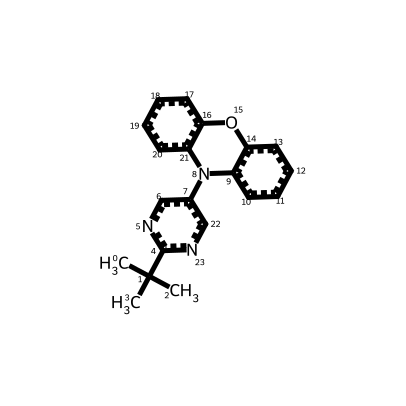 CC(C)(C)c1ncc(N2c3ccccc3Oc3ccccc32)cn1